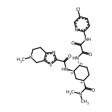 CN1CCc2nc(C(=O)N[C@@H]3C[C@H](C(=O)N(C)C)CC[C@H]3NC(=O)C(=O)Nc3ccc(Cl)cn3)sc2C1